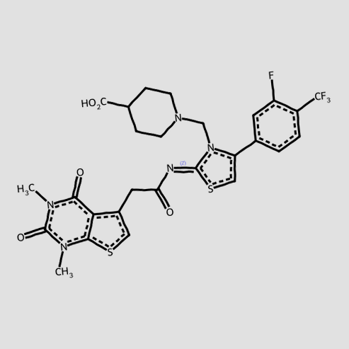 Cn1c(=O)c2c(CC(=O)/N=c3\scc(-c4ccc(C(F)(F)F)c(F)c4)n3CN3CCC(C(=O)O)CC3)csc2n(C)c1=O